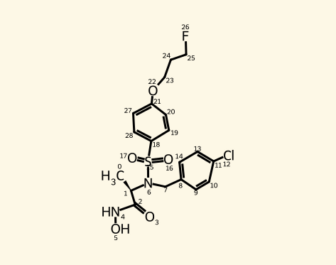 C[C@H](C(=O)NO)N(Cc1ccc(Cl)cc1)S(=O)(=O)c1ccc(OCCCF)cc1